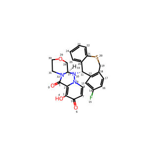 O=C1c2c(O)c(=O)ccn2N([C@H]2c3cc(F)ccc3CSc3ccccc32)[C@@H]2COCCN12